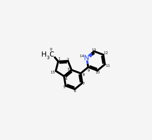 CC1=Cc2c(cccc2-c2ccccn2)C1